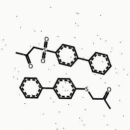 CC(=O)CS(=O)(=O)c1ccc(-c2ccccc2)cc1.CC(=O)CSc1ccc(-c2ccccc2)cc1